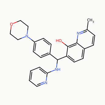 Cc1ccc2ccc(C(Nc3ccccn3)c3ccc(N4CCOCC4)cc3)c(O)c2n1